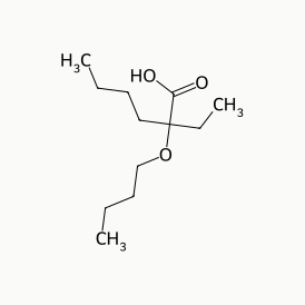 CCCCOC(CC)(CCCC)C(=O)O